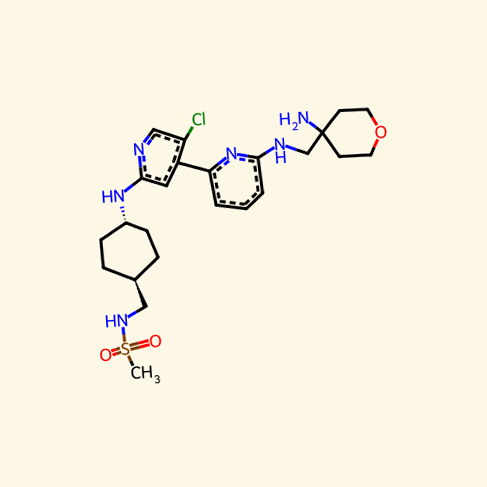 CS(=O)(=O)NC[C@H]1CC[C@H](Nc2cc(-c3cccc(NCC4(N)CCOCC4)n3)c(Cl)cn2)CC1